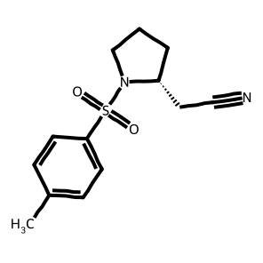 Cc1ccc(S(=O)(=O)N2CCC[C@@H]2CC#N)cc1